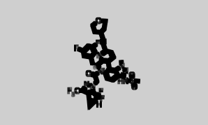 Cn1nc(NS(C)(=O)=O)c2cccc(-c3ccc(C#CC4CCOCC4)nc3[C@H](Cc3cc(F)cc(F)c3)NC(=O)Cn3nc(C(F)(F)F)c4c3C(F)(F)[C@@H]3CC43)c21